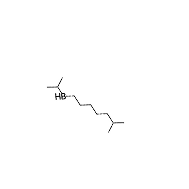 CC(C)BCCCCCC(C)C